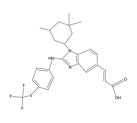 CC1CC(n2c(Nc3ccc(SC(F)(F)F)cc3)nc3cc(C=CC(=O)O)ccc32)CC(C)(C)C1